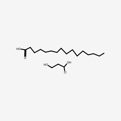 CCCCCCCCCCCCCCCC(=O)O.OCCC(O)Cl